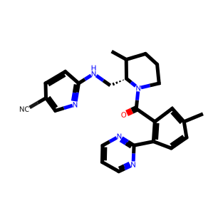 Cc1ccc(-c2ncccn2)c(C(=O)N2CCCC(C)[C@H]2CNc2ccc(C#N)cn2)c1